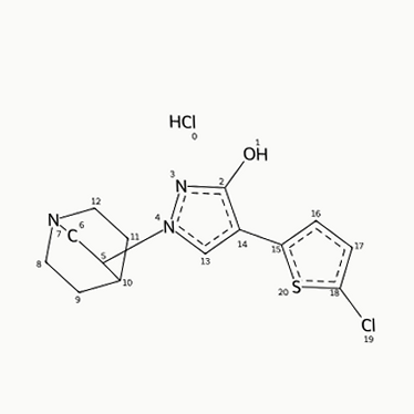 Cl.Oc1nn(C2CN3CCC2CC3)cc1-c1ccc(Cl)s1